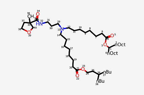 CCCCCCCCC(CCCCCCCC)OC(=O)CCCCCCCN(CCCCCCCC(=O)OCCC(CCCC)CCCC)CCCNC(=O)C1(C)CCOC1